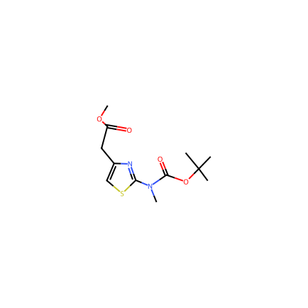 COC(=O)Cc1csc(N(C)C(=O)OC(C)(C)C)n1